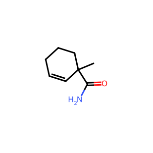 CC1(C(N)=O)C=CCCC1